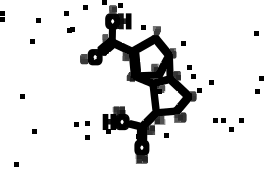 O=C(O)C1=C2CC(C1)C1CCC(C(=O)O)C21